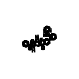 O=C(NC[C@H](NS(=O)(=O)c1ccccc1)C(=O)O)c1ccc(N2CCCCC2Nc2ncccn2)cc1F